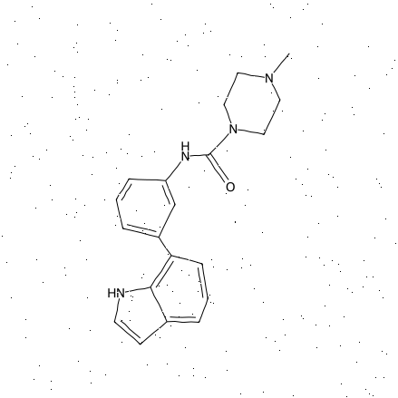 CN1CCN(C(=O)Nc2cccc(-c3cccc4cc[nH]c34)c2)CC1